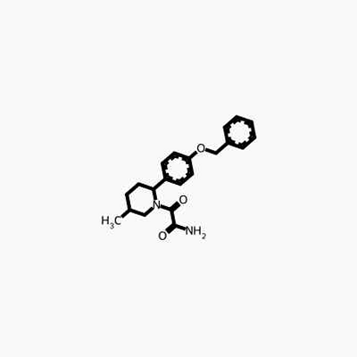 CC1CCC(c2ccc(OCc3ccccc3)cc2)N(C(=O)C(N)=O)C1